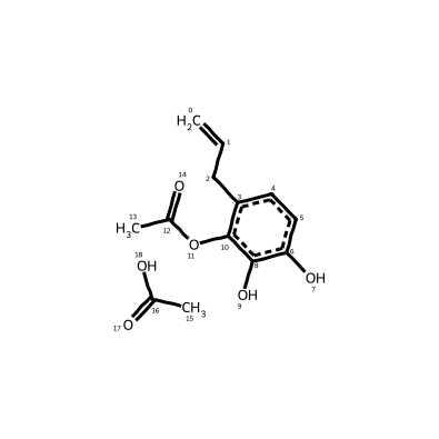 C=CCc1ccc(O)c(O)c1OC(C)=O.CC(=O)O